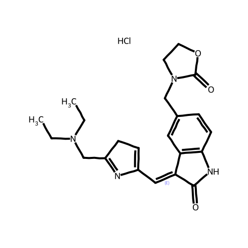 CCN(CC)CC1=NC(/C=C2/C(=O)Nc3ccc(CN4CCOC4=O)cc32)=CC1.Cl